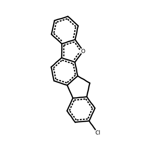 Clc1ccc2c(c1)Cc1c-2ccc2c1oc1ccccc12